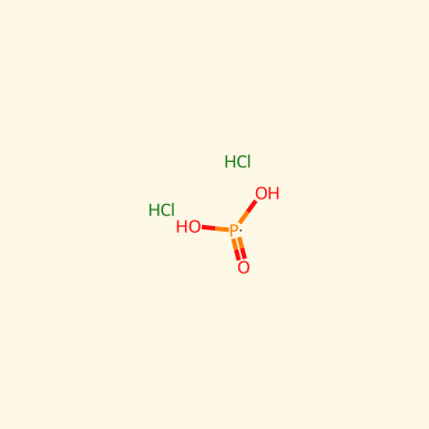 Cl.Cl.O=[P](O)O